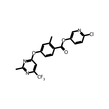 Cc1nc(Oc2ccc(C(=O)Oc3ccc(Cl)nc3)c(C)c2)cc(C(F)(F)F)n1